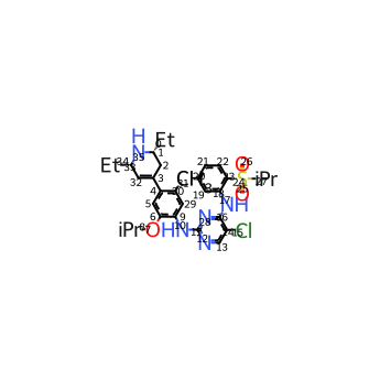 CC[C@@H]1CC(c2cc(OC(C)C)c(Nc3ncc(Cl)c(Nc4ccccc4S(=O)(=O)C(C)C)n3)cc2C)=C[C@@H](CC)N1